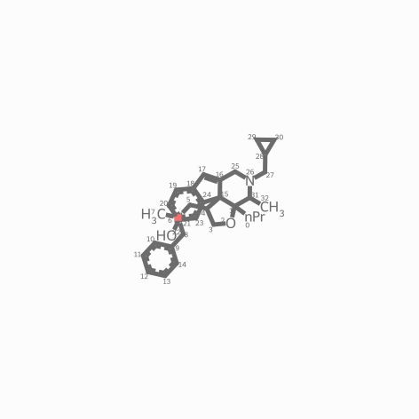 CCCC12OCC(CN(C)Cc3ccccc3)C13C(=Cc1ccc(O)cc13)CN(CC1CC1)C2C